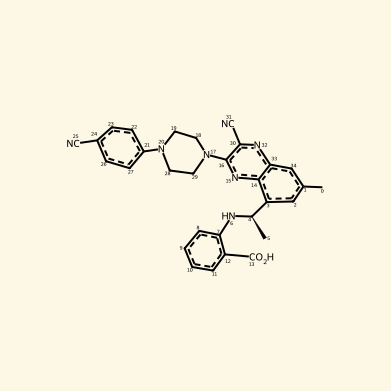 Cc1cc([C@@H](C)Nc2ccccc2C(=O)O)c2nc(N3CCN(c4ccc(C#N)cc4)CC3)c(C#N)nc2c1